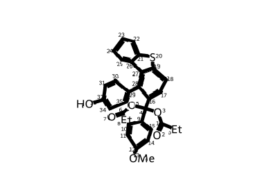 CCC(=O)OC(OC(=O)CC)(c1ccc(OC)cc1)c1ccc2sc3ccccc3c2c1-c1ccc(O)cc1